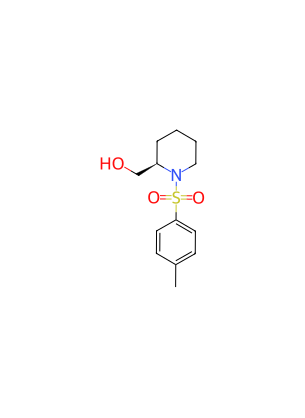 Cc1ccc(S(=O)(=O)N2CCCC[C@@H]2CO)cc1